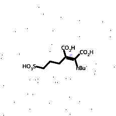 CCCC/C(C(=O)O)=C(\CCCS(=O)(=O)O)C(=O)O